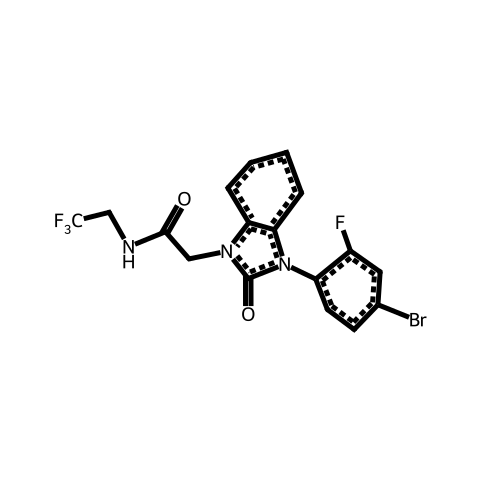 O=C(Cn1c(=O)n(-c2ccc(Br)cc2F)c2ccccc21)NCC(F)(F)F